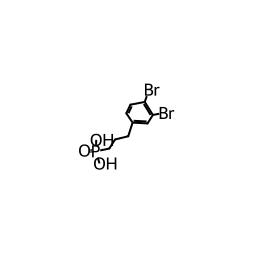 O=P(O)(O)CCCc1ccc(Br)c(Br)c1